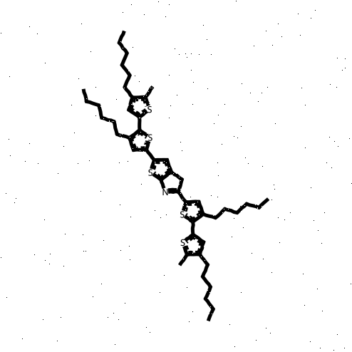 CCCCCCc1cc(-c2sc(C3=Nc4sc(-c5cc(CCCCCC)c(-c6cc(CCCCCC)c(C)s6)s5)cc4C3)cc2CCCCCC)sc1C